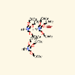 CCC[N+](CCOCCOC)(CCOCCOC)CCOCCOC.CCC[N+](CCOCCOC)(CCOCCOC)CCOCCOC.CCC[N+](CCOCCOC)(CCOCCOC)CCOCCOC.[Br-].[Br-].[Br-]